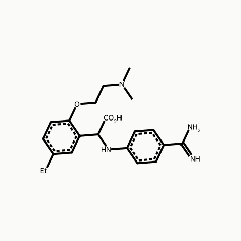 CCc1ccc(OCCN(C)C)c(C(Nc2ccc(C(=N)N)cc2)C(=O)O)c1